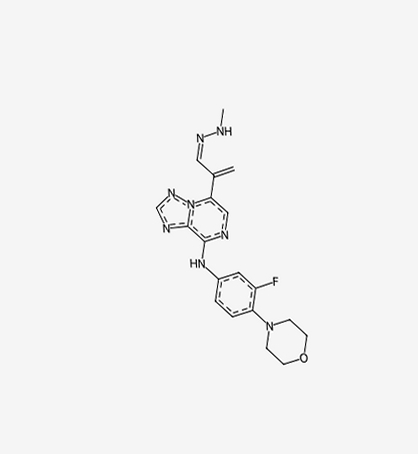 C=C(/C=N\NC)c1cnc(Nc2ccc(N3CCOCC3)c(F)c2)c2ncnn12